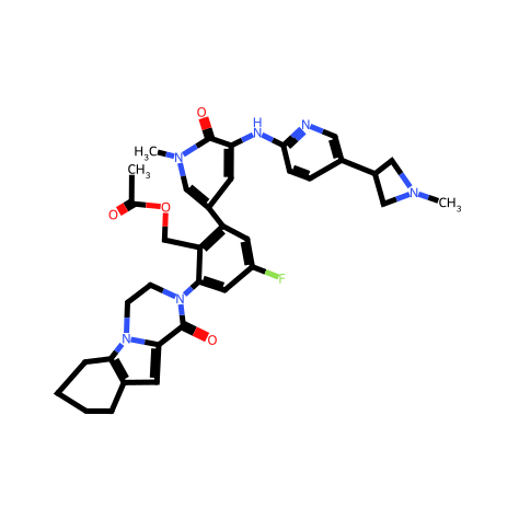 CC(=O)OCc1c(-c2cc(Nc3ccc(C4CN(C)C4)cn3)c(=O)n(C)c2)cc(F)cc1N1CCn2c(cc3c2CCCC3)C1=O